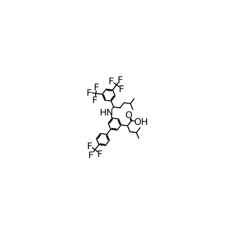 CC(C)CCC(Nc1cc(-c2ccc(C(F)(F)F)cc2)cc(C(CC(C)C)C(=O)O)c1)c1cc(C(F)(F)F)cc(C(F)(F)F)c1